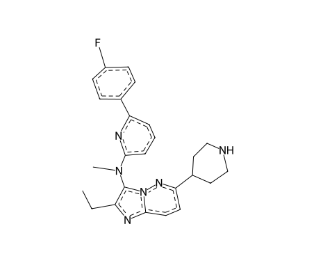 CCc1nc2ccc(C3CCNCC3)nn2c1N(C)c1cccc(-c2ccc(F)cc2)n1